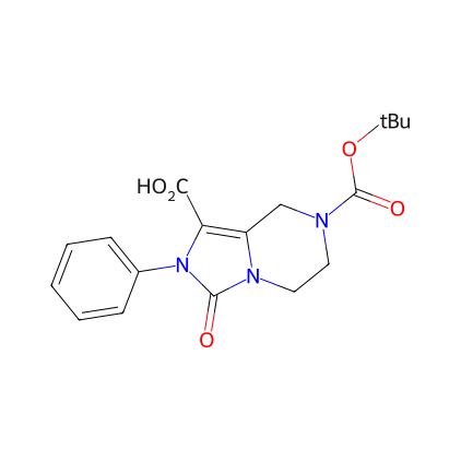 CC(C)(C)OC(=O)N1CCn2c(c(C(=O)O)n(-c3ccccc3)c2=O)C1